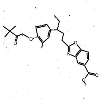 CCC(CCc1nc2cc(C(=O)OC)ccc2o1)c1ccc(OCC(=O)C(C)(C)C)c(C)c1